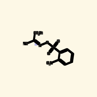 CCOC(=O)/C(C#N)=N\OS(=O)(=O)c1ccccc1[N+](=O)[O-]